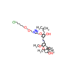 COc1cc(/C=C/c2cc(O)c(CC=C(C)C)c(OCc3cn(CCOCCOCCCCCCCl)nn3)c2)cc2c1O[C@]1(C)CC[C@@H](O)C(C)(C)[C@H]1C2